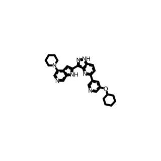 c1ncc(-c2ccc3[nH]nc(-c4cc5c(N6CCCCC6)cncc5[nH]4)c3n2)cc1OC1CCCCC1